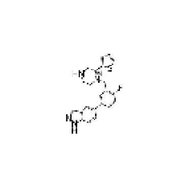 Fc1ccc(-c2ccc3[nH]ncc3c2)cc1CN1CCNC[C@H]1c1cccs1